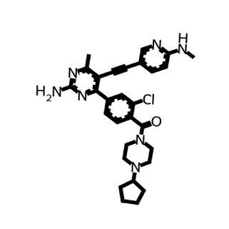 CNc1ccc(C#Cc2c(C)nc(N)nc2-c2ccc(C(=O)N3CCN(C4CCCC4)CC3)c(Cl)c2)cn1